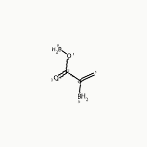 BOC(=O)C(B)=C